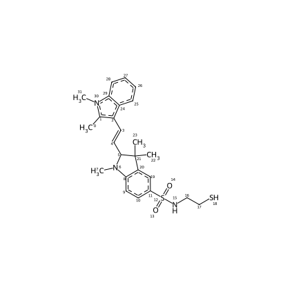 Cc1c(/C=C/C2N(C)c3ccc(S(=O)(=O)NCCS)cc3C2(C)C)c2ccccc2n1C